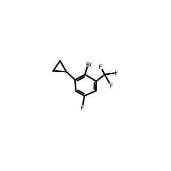 Fc1cc(C2CC2)c(Br)c(C(F)(F)F)c1